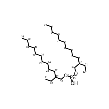 CCCCCCCCCCC(CC)COP(O)OCC(CC)CCCCCCCCCC